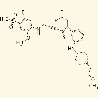 COCCN1CCC(Nc2cccc3c(CC(F)F)c(C#CCNc4cc(F)c(S(C)(=O)=O)cc4OC)sc23)CC1